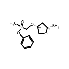 B[C@H]1C[C@@H](OCP(C)(=O)Oc2ccccc2)CO1